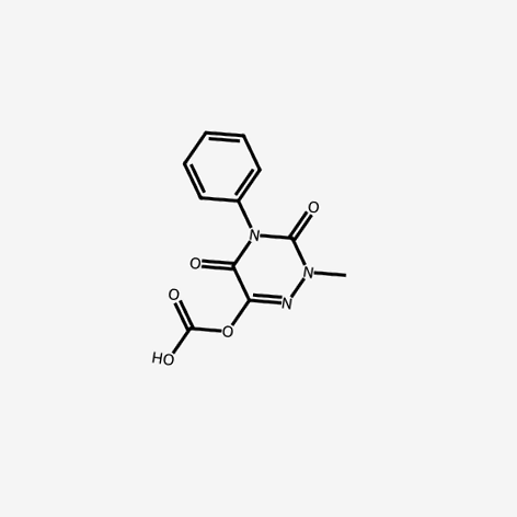 Cn1nc(OC(=O)O)c(=O)n(-c2ccccc2)c1=O